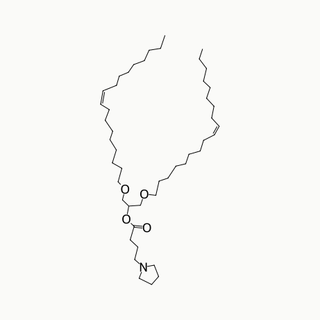 CCCCCCCC/C=C\CCCCCCCCOCC(COCCCCCCCC/C=C\CCCCCCCC)OC(=O)CCCN1CCCC1